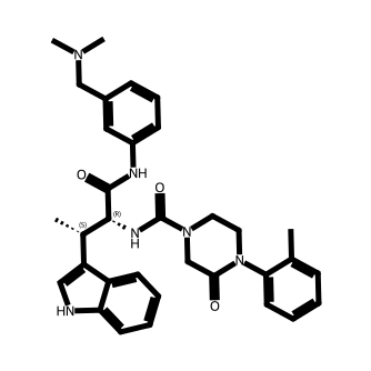 Cc1ccccc1N1CCN(C(=O)N[C@@H](C(=O)Nc2cccc(CN(C)C)c2)[C@@H](C)c2c[nH]c3ccccc23)CC1=O